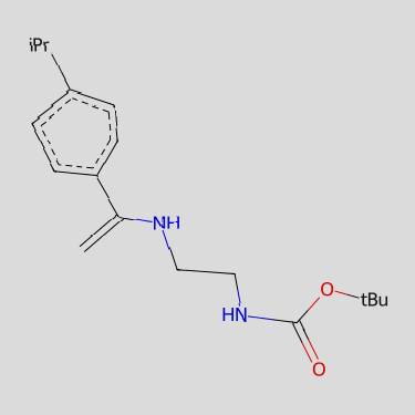 C=C(NCCNC(=O)OC(C)(C)C)c1ccc(C(C)C)cc1